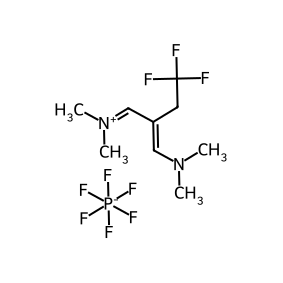 CN(C)/C=C(/C=[N+](C)C)CC(F)(F)F.F[P-](F)(F)(F)(F)F